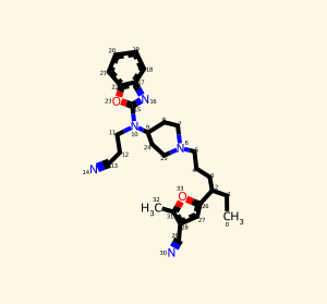 CCC(CCCN1CCC(N(CCC#N)c2nc3ccccc3o2)CC1)c1cc(C#N)c(C)o1